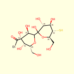 CCC(=O)[C@@]1(O)[C@@H](O)C(C2(O)O[C@H](CO)[C@@H](S)[C@H](O)[C@H]2O)O[C@H](CO)[C@@H]1O